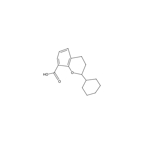 O=C(O)c1cccc2c1OC(C1CCCCC1)CC2